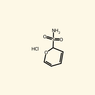 Cl.NS(=O)(=O)C1C=CC=CO1